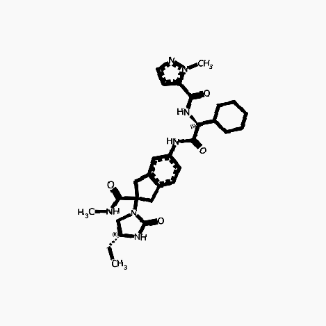 CC[C@@H]1CN(C2(C(=O)NC)Cc3ccc(NC(=O)[C@@H](NC(=O)c4ccnn4C)C4CCCCC4)cc3C2)C(=O)N1